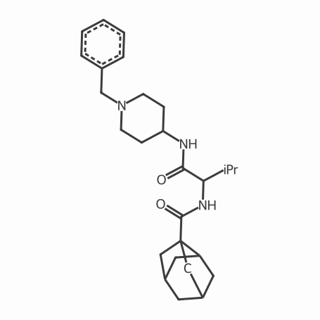 CC(C)C(NC(=O)C12CC3CC(CC1C3)C2)C(=O)NC1CCN(Cc2ccccc2)CC1